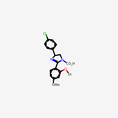 CCOc1cc(OC)ccc1C1=NC(c2ccc(Cl)cc2)CN1C(=O)O